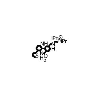 CC(C)P(=O)(CCNCc1ccc(C(N)=O)c(-c2cc(-c3cccs3)ccc2N)c1)C(C)C